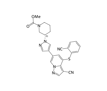 COC(=O)N1CCC[C@H](n2cc(-c3cc(Sc4ccccc4C#N)c4c(C#N)cnn4c3)cn2)C1